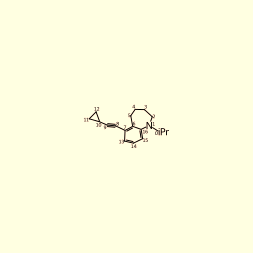 CC(C)N1CCCCc2c(C#CC3CC3)cccc21